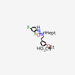 CCCCCCCN(CCc1cccc(O[C@](C)(CC)C(=O)O)c1)C(=O)Nc1ccc(F)cc1F